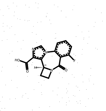 O=C(O)c1ncn2c1[C@@H]1CCN1C(=O)c1c(F)cccc1-2